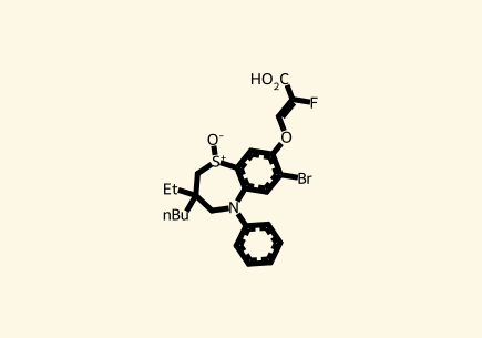 CCCCC1(CC)CN(c2ccccc2)c2cc(Br)c(O/C=C(\F)C(=O)O)cc2[S+]([O-])C1